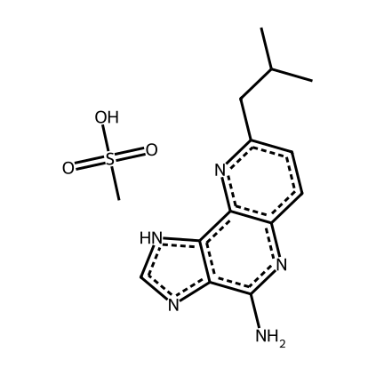 CC(C)Cc1ccc2nc(N)c3nc[nH]c3c2n1.CS(=O)(=O)O